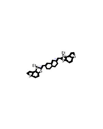 CCN1/C(=C/C2=CC3=C/C(=C/c4sc5ccc6sccc6c5[n+]4CC)CCC3CC2)Sc2ccc3sccc3c21